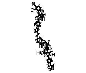 C=C(N[C@@H](C)c1ccc(-c2scnc2C)cc1)C1C[C@@H](O)CN1C(=O)[C@@H](NC(=O)CN1CCN(CCC2CCN(c3ccc(C(=O)N[C@H]4C(C)(C)[C@H](Oc5ccc(C#N)c(Cl)c5)C4(C)C)cn3)C2)CC1)C(C)(C)C